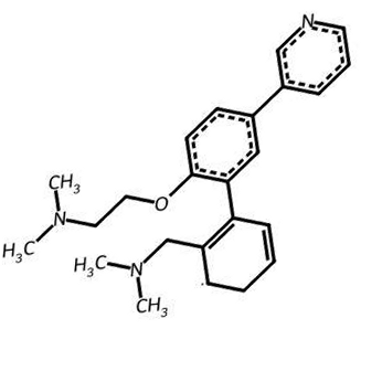 CN(C)CCOc1ccc(-c2cccnc2)cc1C1=C(CN(C)C)[CH]CC=C1